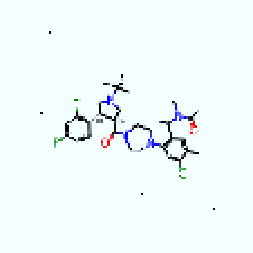 CC(=O)N(C)C(C)c1cc(C)c(Cl)cc1N1CCN(C(=O)[C@@H]2CN(C(C)(C)C)C[C@H]2c2ccc(F)cc2F)CC1